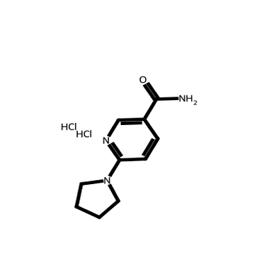 Cl.Cl.NC(=O)c1ccc(N2CCCC2)nc1